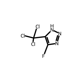 Fc1nn[nH]c1C(Cl)(Cl)Cl